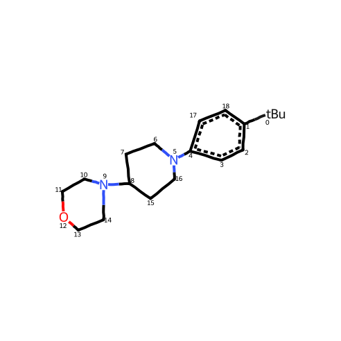 CC(C)(C)c1ccc(N2CCC(N3CCOCC3)CC2)cc1